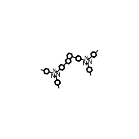 Cc1ccc(-c2nc(-c3ccc(C)cc3)nc(-c3ccc(-c4ccc5c(-c6ccc(-c7nc(-c8ccc(C)cc8)nc(-c8ccc(C)cc8)n7)cc6)cccc5c4)cc3)n2)cc1